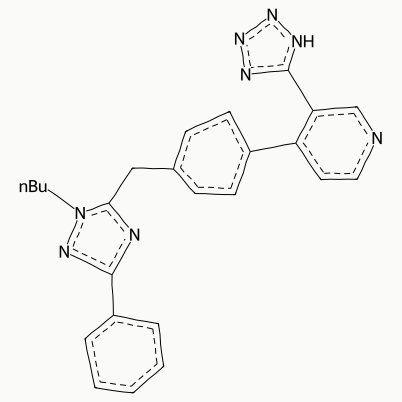 CCCCn1nc(-c2ccccc2)nc1Cc1ccc(-c2ccncc2-c2nnn[nH]2)cc1